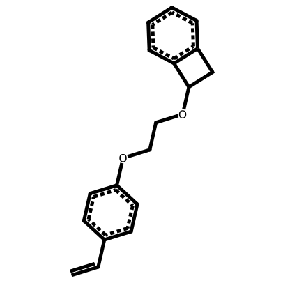 C=Cc1ccc(OCCOC2Cc3ccccc32)cc1